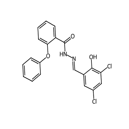 O=C(N/N=C/c1cc(Cl)cc(Cl)c1O)c1ccccc1Oc1ccccc1